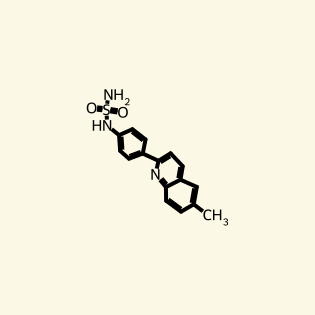 Cc1ccc2nc(-c3ccc(NS(N)(=O)=O)cc3)ccc2c1